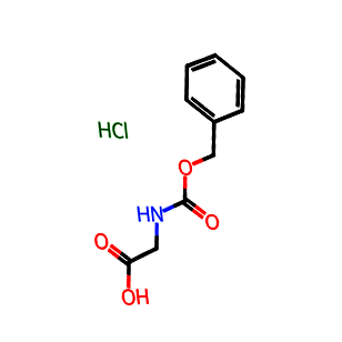 Cl.O=C(O)CNC(=O)OCc1ccccc1